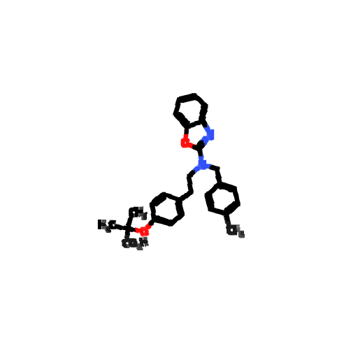 CC(C)(Oc1ccc(CCN(Cc2ccc(C(F)(F)F)cc2)c2nc3ccccc3o2)cc1)C(=O)O